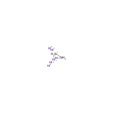 I.I.I.I.I.I.[SiH3][SiH3]